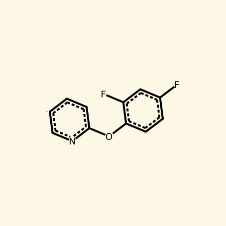 Fc1ccc(Oc2cc[c]cn2)c(F)c1